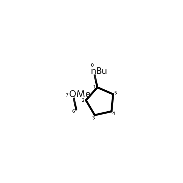 CCCCC1CCCC1.COC